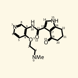 CNCCOc1ccncc1NC(=O)c1c[nH]c2c1C(=O)CCC2